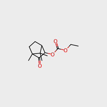 CCOC(=O)OC1C(=O)C2(C)CCC1C2(C)C